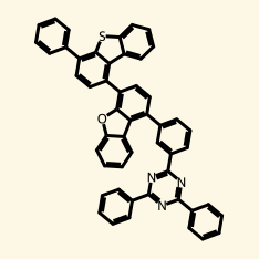 c1ccc(-c2nc(-c3ccccc3)nc(-c3cccc(-c4ccc(-c5ccc(-c6ccccc6)c6sc7ccccc7c56)c5oc6ccccc6c45)c3)n2)cc1